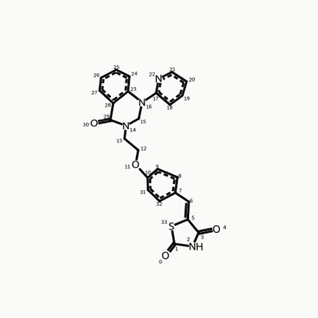 O=C1NC(=O)/C(=C/c2ccc(OCCN3CN(c4ccccn4)c4ccccc4C3=O)cc2)S1